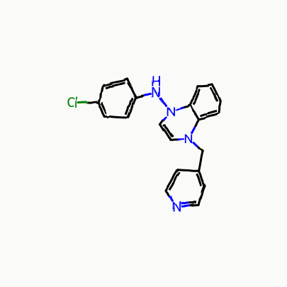 Clc1ccc(NN2C=CN(Cc3ccncc3)c3ccccc32)cc1